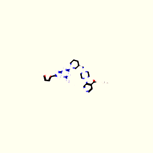 COC(=O)c1ccncc1N1CCN(C[C@@H]2CCCN(c3nc(N)n4nc(-c5ccco5)nc4n3)C2)CC1